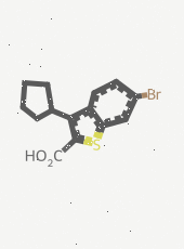 O=C(O)c1sc2cc(Br)ccc2c1C1CCCC1